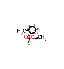 C=COC(=O)Cl.Cc1ccccc1